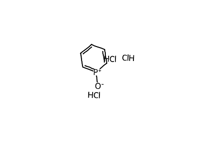 Cl.Cl.Cl.[O-][p+]1ccccc1